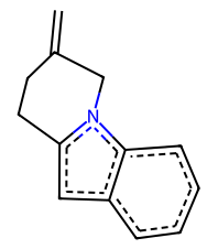 C=C1CCc2cc3ccccc3n2C1